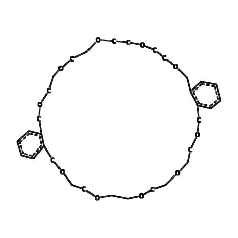 c1ccc2c(c1)COCCOCCOCCOCCOCc1ccccc1COCCOCCOCCOCCOC2